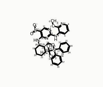 COc1ncccc1Nc1ncc([N+](=O)[O-])c(N[C@@H]2CCCC[C@@H]2CO[Si](c2ccccc2)(c2ccccc2)C(C)(C)C)n1